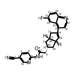 N#Cc1ccc(NC(=O)C[C@@H]2C[C@@H]3CC(c4ccnc5ccc(F)cc45)=C[C@@H]3C2)nc1